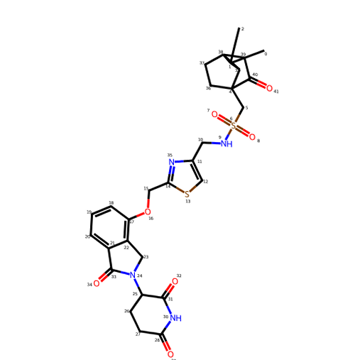 CC1(C)C2C3(CS(=O)(=O)NCc4csc(COc5cccc6c5CN(C5CCC(=O)NC5=O)C6=O)n4)CCC21CC3=O